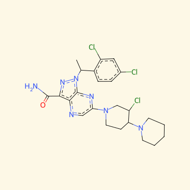 CC(c1ccc(Cl)cc1Cl)n1nc(C(N)=O)c2ncc(N3CCC(N4CCCCC4)C(Cl)C3)nc21